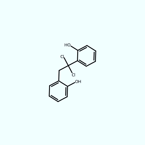 Oc1ccccc1CC(Cl)(Cl)c1ccccc1O